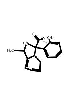 Cc1ccccc1C1(C(N)=O)NC(C)C2=CC=CCC21